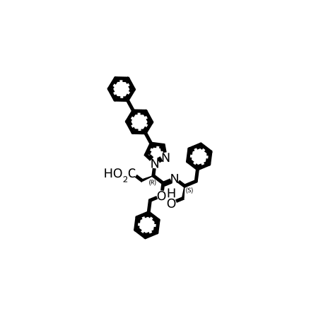 O=C(O)C[C@H](C(=N[C@H](CO)Cc1ccccc1)OCc1ccccc1)n1cc(-c2ccc(-c3ccccc3)cc2)cn1